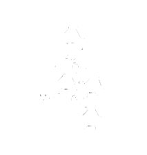 COc1cc(CC(Cc2ccccc2)[C](C)OCc2ccccc2)ccc1OCc1ccccc1